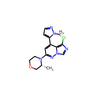 C[C@@H]1COCCN1c1cc(-c2ccnn2C)c2c(Cl)ncn2n1